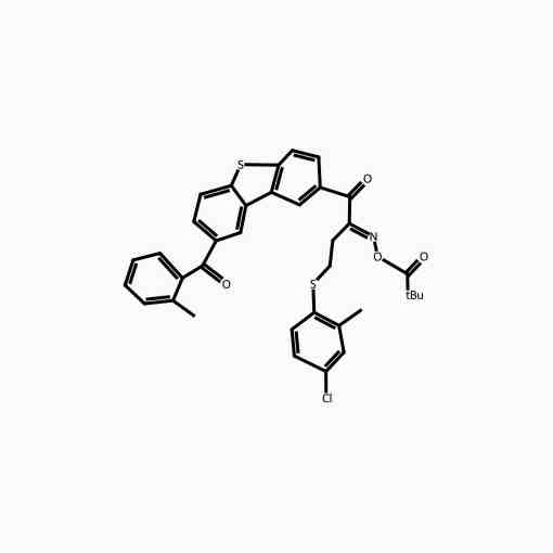 Cc1cc(Cl)ccc1SCC/C(=N\OC(=O)C(C)(C)C)C(=O)c1ccc2sc3ccc(C(=O)c4ccccc4C)cc3c2c1